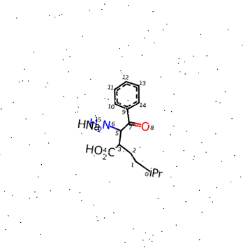 CC(C)CCC(C(=O)O)C(N)C(=O)c1ccccc1.[NaH]